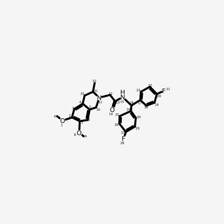 COc1cc2c(cc1OC)CN(CC(=O)NC(c1ccc(F)cc1)c1ccc(F)cc1)C(C)C2